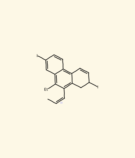 C/C=C\c1c2c(c3ccc(I)cc3c1CC)C=CC(I)C2